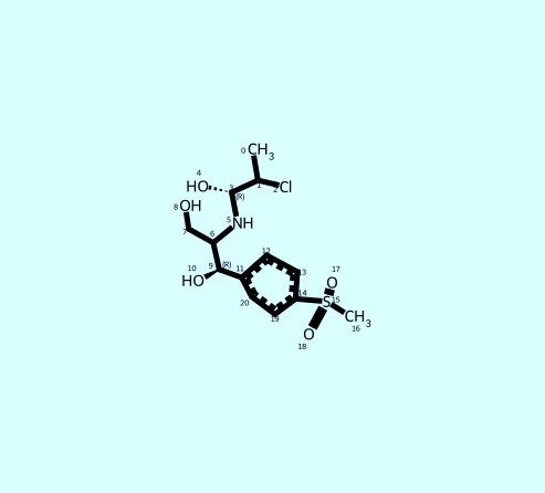 CC(Cl)[C@@H](O)NC(CO)[C@H](O)c1ccc(S(C)(=O)=O)cc1